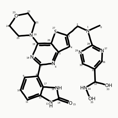 CN(Cc1cc2nc(-c3cccc4[nH]c(=O)[nH]c34)nc(N3CCOCC3)c2s1)c1ncc(C(O)NO)cn1